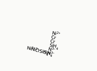 [Cr].[Cr].[Cr].[N-3].[N-3].[Ni+2].[Ni+2].[Ni+2].[SiH4].[SiH4].[SiH4]